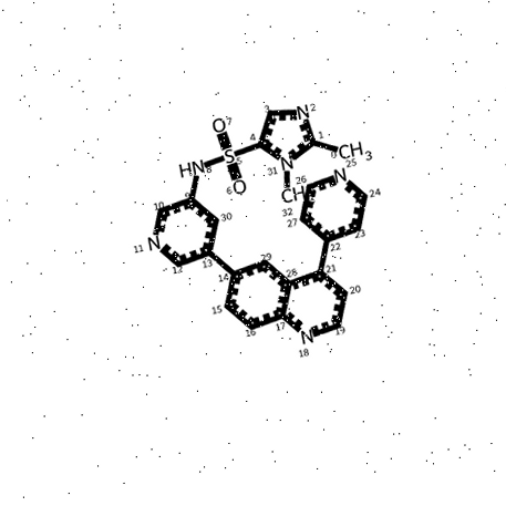 Cc1ncc(S(=O)(=O)Nc2cncc(-c3ccc4nccc(-c5ccncc5)c4c3)c2)n1C